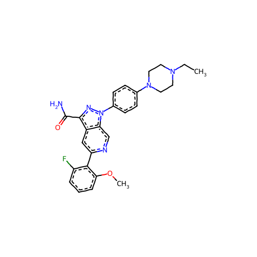 CCN1CCN(c2ccc(-n3nc(C(N)=O)c4cc(-c5c(F)cccc5OC)ncc43)cc2)CC1